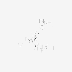 N=C(N)c1cc(CN2CC[C@H](N(CC(=O)NCCc3ccccc3)S(=O)(=O)c3cc(Cl)c(Cl)s3)C2=O)cs1.O=C(O)C(F)(F)F